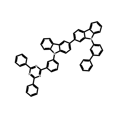 c1ccc(-c2cccc(-n3c4ccccc4c4ccc(-c5ccc6c(c5)c5ccccc5n6-c5cccc(-c6nc(-c7ccccc7)nc(-c7ccccc7)n6)c5)cc43)c2)cc1